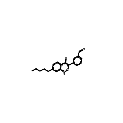 CCCCCc1ccc2c(=O)c(-c3cccc(C=O)c3)n[nH]c2c1